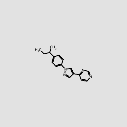 CCC(C)c1ccc(-n2cc(-c3ccncn3)cn2)cc1